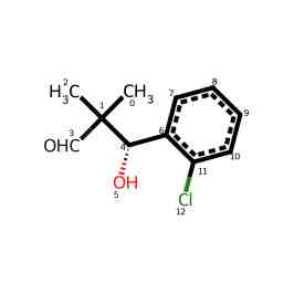 CC(C)(C=O)[C@@H](O)c1ccccc1Cl